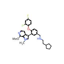 COc1nccc2c(-c3cc(CNCCC4CCCC4)ccc3Oc3ccc(F)cc3F)cn(C)c12